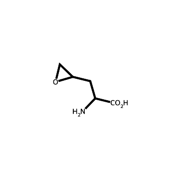 NC(CC1CO1)C(=O)O